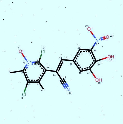 Cc1c(Cl)c(C)[n+]([O-])c(Cl)c1C(C#N)=Cc1cc(O)c(O)c([N+](=O)[O-])c1